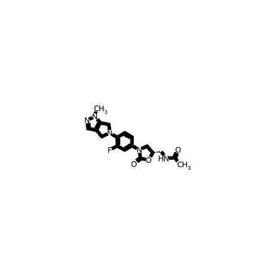 CC(=O)NC[C@H]1CN(c2ccc(N3Cc4cnn(C)c4C3)c(F)c2)C(=O)O1